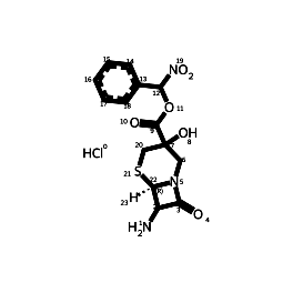 Cl.NC1C(=O)N2CC(O)(C(=O)OC(c3ccccc3)[N+](=O)[O-])CS[C@H]12